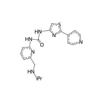 CC(C)NCc1cccc(NC(=O)Nc2csc(-c3ccncc3)n2)n1